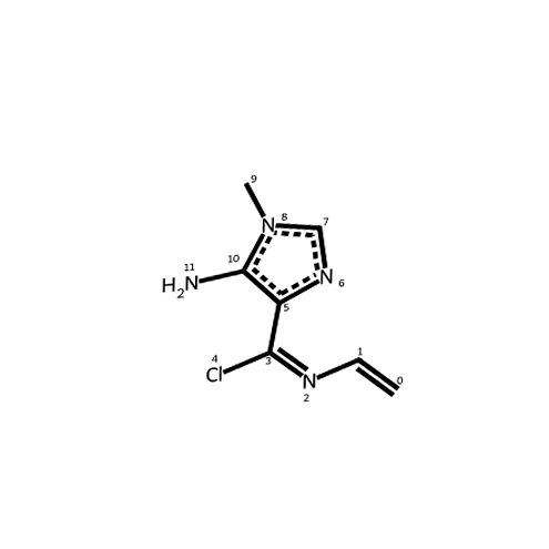 C=C/N=C(/Cl)c1ncn(C)c1N